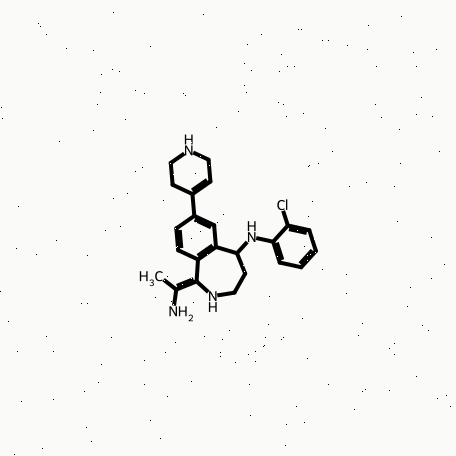 C/C(N)=C1/NCCC(Nc2ccccc2Cl)c2cc(C3=CCNCC3)ccc21